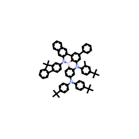 Cc1cc(C(C)(C)C)ccc1N1c2cc(N(c3ccc(C(C)(C)C)cc3)c3ccc(C(C)(C)C)cc3)ccc2B2c3c(cc(-c4ccccc4)cc31)-c1cc3ccccc3cc1N2c1ccc2c(c1)C(C)(C)c1ccccc1-2